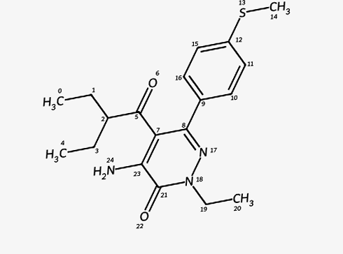 CCC(CC)C(=O)c1c(-c2ccc(SC)cc2)nn(CC)c(=O)c1N